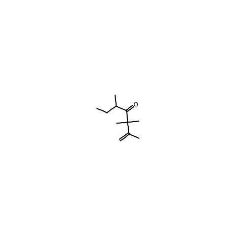 C=C(C)C(C)(C)C(=O)C(C)CC